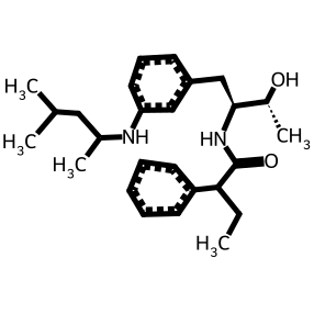 CCC(C(=O)N[C@@H](Cc1cccc(NC(C)CC(C)C)c1)[C@@H](C)O)c1ccccc1